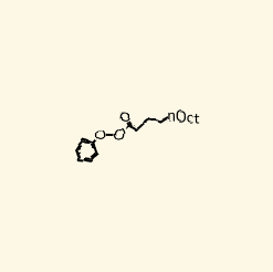 CCCCCCCCCCCC(=O)OOc1ccccc1